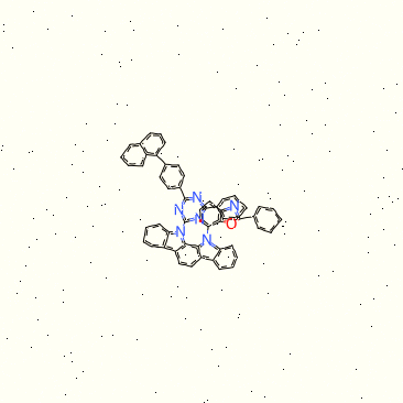 c1ccc(-c2nc(-c3ccc(-c4cccc5ccccc45)cc3)nc(-n3c4ccccc4c4ccc5c6ccccc6n(-c6cccc7nc(-c8ccccc8)oc67)c5c43)n2)cc1